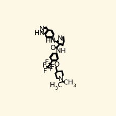 CC(C)N1CCC(COc2cc(NC(=O)c3cccnc3Nc3ccc4cn[nH]c4c3)ccc2C(F)(F)C(F)(F)F)CC1